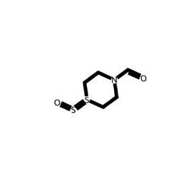 O=CN1CCS(=S=O)CC1